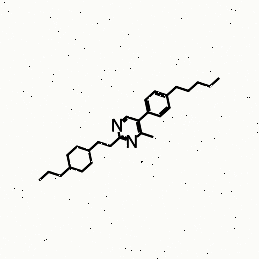 CCCCCc1ccc(-c2cnc(CCC3CCC(CCC)CC3)nc2C)cc1